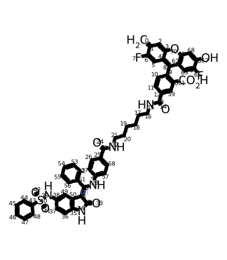 C=c1cc2c(cc1F)=C(c1ccc(C(=O)NCCCCCCNC(=O)c3ccc(N/C(=C4\C(=O)Nc5ccc(NS(=O)(=O)c6ccccc6)cc54)c4ccccc4)cc3)cc1C(=O)O)c1cc(F)c(O)cc1O2